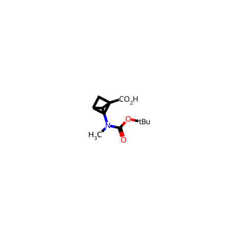 CN(C(=O)OC(C)(C)C)C1C2CC1(C(=O)O)C2